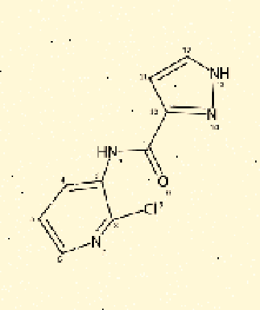 O=C(Nc1cccnc1Cl)c1cc[nH]n1